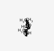 Cn1cc(-c2ccnc(N3CCn4c(cc5c4CC(C)(C)C5)C3=O)c2CO)cc(NC(=O)C2(F)CC2)c1=O